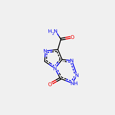 NC(=O)c1ncn2c(=O)[nH]nnc12